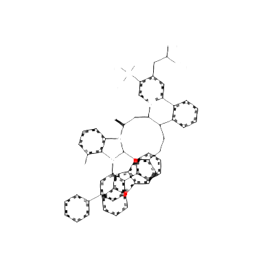 C=C1CC2C(CCc3ccc4c(oc5ccccc54)c3C3N1c1cccc(F)c1N3c1cc(-c3ccccc3)ccc1-c1ccccc1)c1ccccc1-c1cc(CC(C)C)c([Si](C)(C)C)c[n+]12